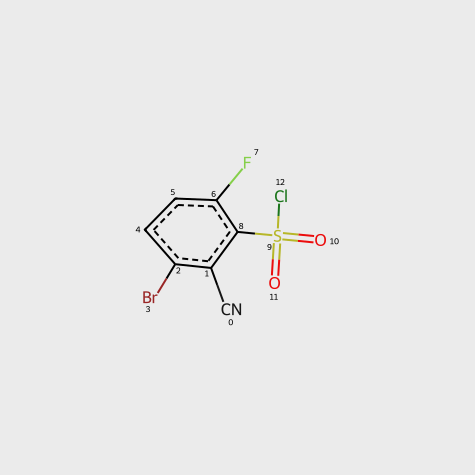 N#Cc1c(Br)ccc(F)c1S(=O)(=O)Cl